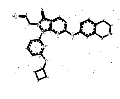 C=CCn1c(=O)c2cnc(Nc3ccc4c(c3)CNCC4)nc2n1-c1cccc(OC2CCC2)n1